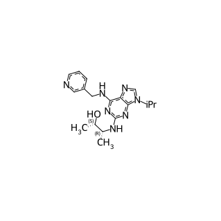 CC(C)n1cnc2c(NCc3cccnc3)nc(N[C@H](C)[C@H](C)O)nc21